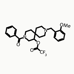 COc1ccccc1CN1CCC2(CC1)CCN(C(=O)c1ccccc1)CC2OC(=O)C(F)(F)F